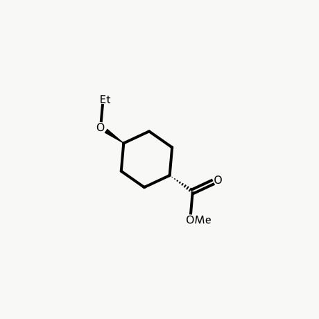 CCO[C@H]1CC[C@H](C(=O)OC)CC1